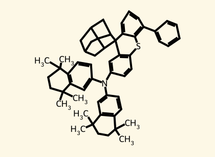 CC1(C)CCC(C)(C)c2cc(N(c3ccc4c(c3)C(C)(C)CCC4(C)C)c3ccc4c(c3)C3(c5cccc(-c6ccccc6)c5S4)C4CC5CC6CC3C64C5)ccc21